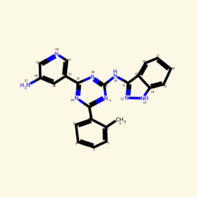 Cc1ccccc1-c1nc(Nc2n[nH]c3ccccc23)nc(-c2cncc(N)c2)n1